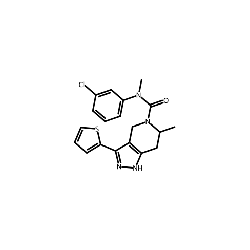 CC1Cc2[nH]nc(-c3cccs3)c2CN1C(=O)N(C)c1cccc(Cl)c1